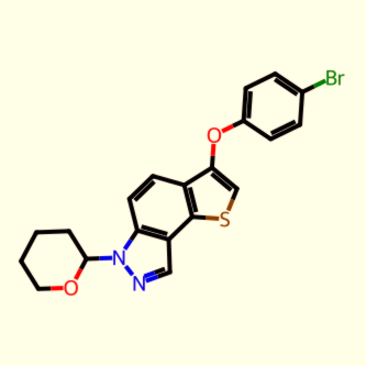 Brc1ccc(Oc2csc3c2ccc2c3cnn2C2CCCCO2)cc1